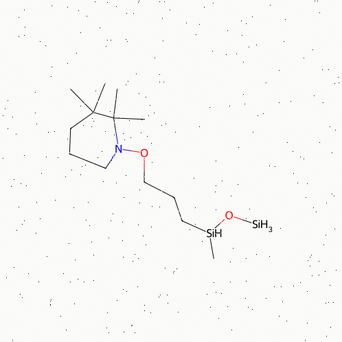 C[SiH](CCCON1CCCC(C)(C)C1(C)C)O[SiH3]